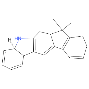 CC1(C)C2=C(C=CCC2)C2=CC3=C(CC21)N[C@@H]1C=CC=CC31